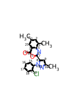 Cc1cc(C)c2nc(-c3cc(C)nn3-c3ccccc3Cl)oc(=O)c2c1